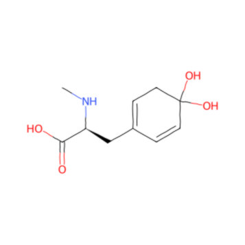 CN[C@@H](CC1=CCC(O)(O)C=C1)C(=O)O